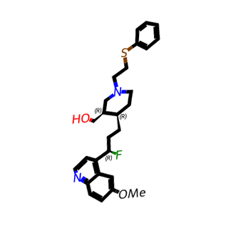 COc1ccc2nccc([C@H](F)CC[C@@H]3CCN(CCSc4ccccc4)C[C@@H]3CO)c2c1